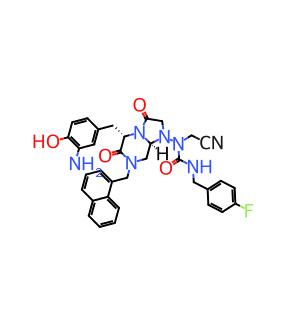 N#CCN(C(=O)NCc1ccc(F)cc1)N1CC(=O)N2[C@@H](Cc3ccc(O)c(N)c3)C(=O)N(Cc3cccc4ccccc34)C[C@@H]21